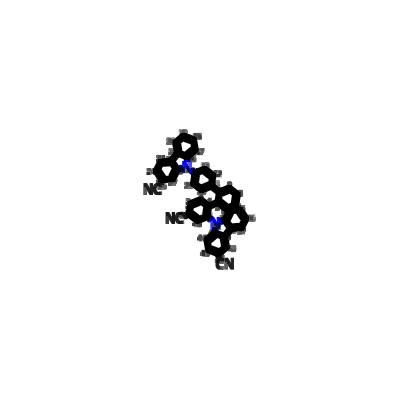 N#Cc1ccc(-c2ccccc2-c2ccc(-n3c4ccccc4c4ccc(C#N)cc43)cc2)c(-n2c3ccccc3c3cc(C#N)ccc32)c1